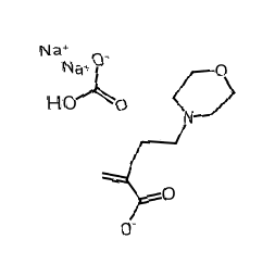 C=C(CCN1CCOCC1)C(=O)[O-].O=C([O-])O.[Na+].[Na+]